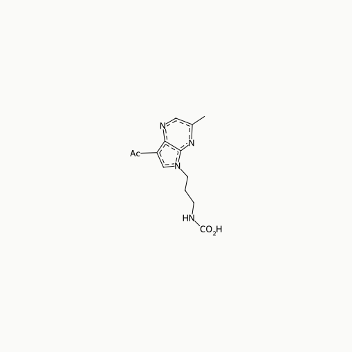 CC(=O)c1cn(CCCNC(=O)O)c2nc(C)cnc12